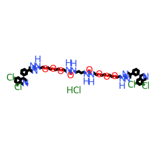 CN1Cc2c(Cl)cc(Cl)cc2[C@H](c2cccc(-c3cnc(NCCOCCOCCOCCNC(=O)NCCCCNC(=O)NCCOCCOCCOCCNc4ncc(-c5cccc([C@@H]6CN(C)Cc7c(Cl)cc(Cl)cc76)c5)cn4)nc3)c2)C1.Cl